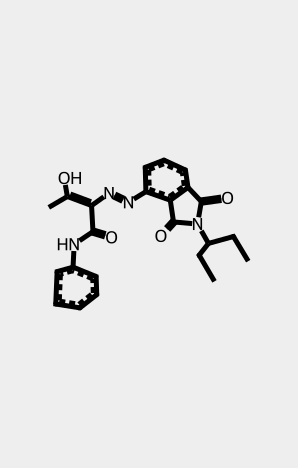 CCC(CC)N1C(=O)c2cccc(N=N/C(C(=O)Nc3ccccc3)=C(/C)O)c2C1=O